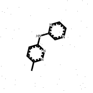 Cc1ccc(Nc2cnccn2)nn1